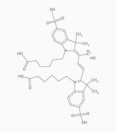 CC(/C=C/C1=[N+](CCCCCC(=O)O)c2ccc(S(=O)(=O)O)cc2C1(C)C)=C1/N(CCCCCC(=O)O)c2ccc(S(=O)(=O)O)cc2C1(C)C.[OH-]